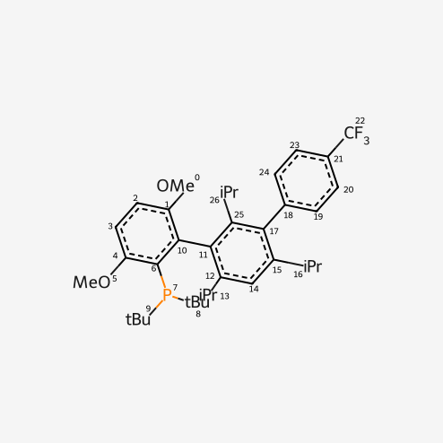 COc1ccc(OC)c(P(C(C)(C)C)C(C)(C)C)c1-c1c(C(C)C)cc(C(C)C)c(-c2ccc(C(F)(F)F)cc2)c1C(C)C